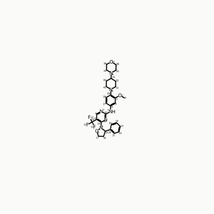 COc1cc(Nc2ncc(C(F)(F)F)c(N3OCCC3c3ccccc3)n2)ccc1N1CCC(N2CCOCC2)CC1